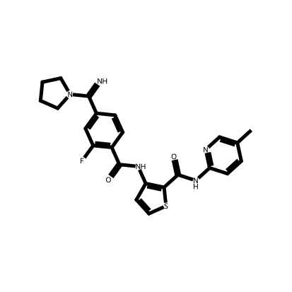 Cc1ccc(NC(=O)c2sccc2NC(=O)c2ccc(C(=N)N3CCCC3)cc2F)nc1